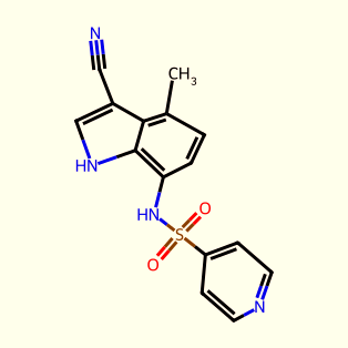 Cc1ccc(NS(=O)(=O)c2ccncc2)c2[nH]cc(C#N)c12